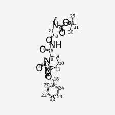 CN(CCONC(=O)C1CCC2CN1C(=O)N2OCc1ccccc1)C(=O)OC(C)(C)C